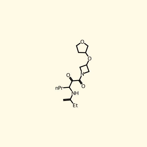 C=C(CC)NC(CCC)C(=O)C(=O)N1CC(OC2CCOC2)C1